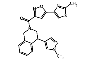 Cc1nc(-c2cc(C(=O)N3Cc4ccccc4C(c4cnn(C)c4)C3)no2)cs1